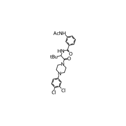 CC(=O)Nc1cccc(C(=O)NC(C(=O)N2CCN(c3ccc(Cl)c(Cl)c3)CC2)C(C)(C)C)c1